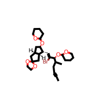 CC#CCC(C)[C@H](OC1CCCCO1)C(Br)=C[C@@H]1[C@H]2CC3(C[C@H]2C[C@H]1OC1CCCCO1)OCCO3